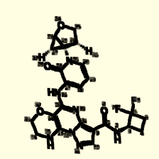 O=C(N[C@@H]1CCC1(F)F)c1cnn2c3c(c(Nc4cccn([C@]56C7OC[C@@H]5[C@H]76)c4=O)nc12)OCCN3